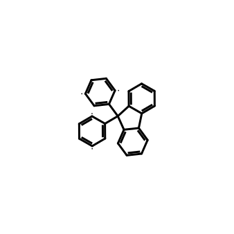 [c]1cc[c]c(C2(c3[c]cc[c]c3)c3ccccc3-c3ccccc32)c1